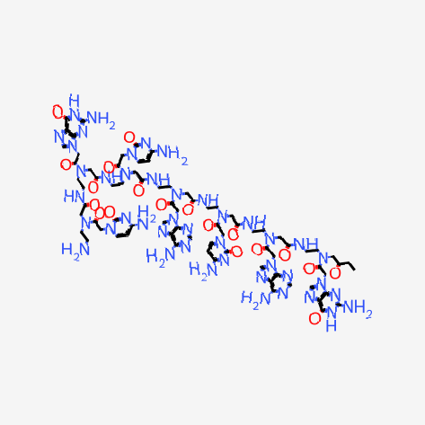 CCC(=O)CN(CCNC(=O)CN(CCNC(=O)CN(CCNC(=O)CN(CCNC(=O)CN(CCNC(=O)CN(CCNC(=O)CN(CCN)C(=O)Cn1ccc(N)nc1=O)C(=O)Cn1cnc2c(=O)[nH]c(N)nc21)C(=O)Cn1ccc(N)nc1=O)C(=O)Cn1cnc2c(N)ncnc21)C(=O)Cn1ccc(N)nc1=O)C(=O)Cn1cnc2c(N)ncnc21)C(=O)Cn1cnc2c(=O)[nH]c(N)nc21